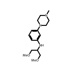 COCC(COC)Nc1[c]ccc(N2CCN(C)CC2)c1